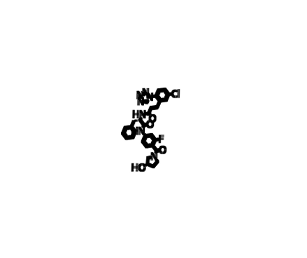 O=C(C=Cc1cc(Cl)ccc1-n1cnnn1)N[C@@H](Cc1ccccc1)C(=O)Nc1ccc(C(=O)N2CC[C@@H](O)C2)c(F)c1